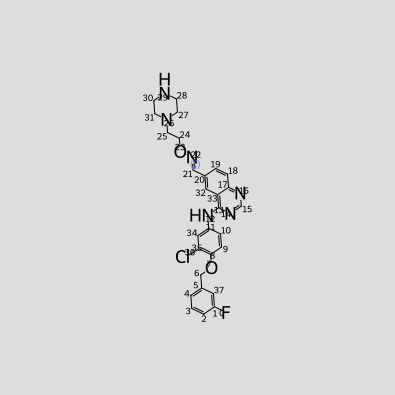 Fc1cccc(COc2ccc(Nc3ncnc4ccc(/C=N/OCCN5CCNCC5)cc34)cc2Cl)c1